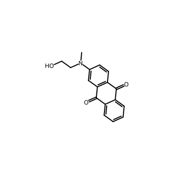 CN(CCO)c1ccc2c(c1)C(=O)c1ccccc1C2=O